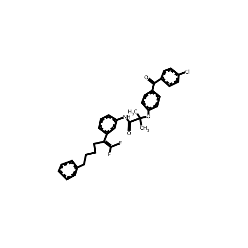 CC(C)(Oc1ccc(C(=O)c2ccc(Cl)cc2)cc1)C(=O)Nc1cccc(C(CCCCc2ccccc2)=C(F)F)c1